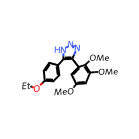 CCOc1ccc(-c2[nH]nnc2-c2cc(OC)cc(OC)c2OC)cc1